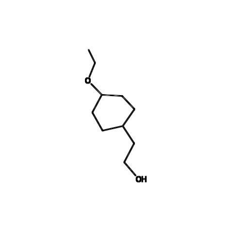 CCOC1CCC(CCO)CC1